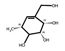 C[C@@H]1C=C(CO)[C@H](O)[C@H](O)C1O